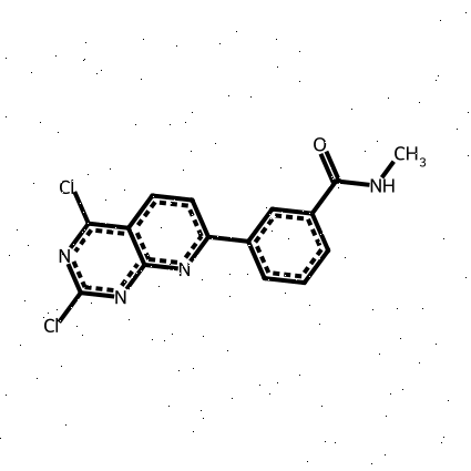 CNC(=O)c1cccc(-c2ccc3c(Cl)nc(Cl)nc3n2)c1